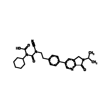 CC(C)N1Cc2cc(-c3ccc(CCN(C#N)C(=O)N(C(=O)O)C4CCCCC4)cc3)cnc2C1=O